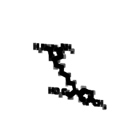 Cc1ncc([C@H](CCCCCCc2cc(N)nc(N)n2)CC(=O)O)cn1